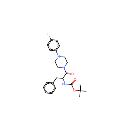 CC(C)(C)OC(=O)NC(Cc1ccccc1)C(=O)N1CCN(c2ccc(F)cc2)CC1